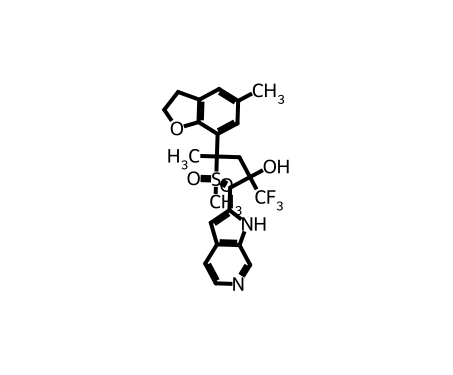 Cc1cc2c(c(C(C)(CC(O)(Cc3cc4ccncc4[nH]3)C(F)(F)F)S(C)(=O)=O)c1)OCC2